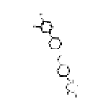 CC[SiH2][C@H]1CC[C@H](CC[C@H]2CC[C@H](c3ccc(F)c(F)c3)CC2)CC1